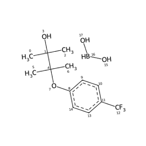 CC(C)(O)C(C)(C)Oc1ccc(C(F)(F)F)cc1.OBO